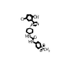 CS(=O)(=O)c1ccc(NC(=O)N[C@H]2CC[C@@H](Cn3cncc3-c3cc(Cl)ccc3O)CC2)cc1